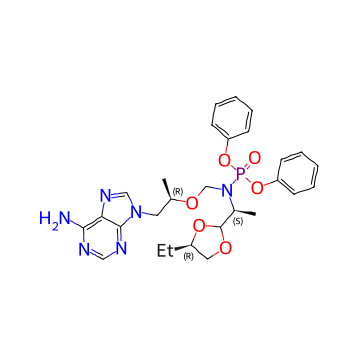 CC[C@@H]1COC([C@H](C)N(CO[C@H](C)Cn2cnc3c(N)ncnc32)P(=O)(Oc2ccccc2)Oc2ccccc2)O1